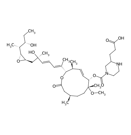 CC[C@H](O)[C@@H](C)[C@H]1O[C@@H]1C[C@@](C)(O)/C=C/C=C(\C)[C@H]1OC(=O)C[C@H](C)CC[C@@](C)(OC)[C@@H](OC(=O)N2CCNC(CCC(=O)O)C2)/C=C/[C@@H]1C